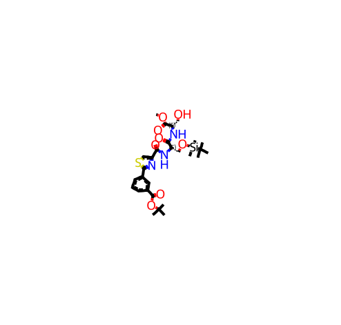 COC(=O)[C@H](CO)NC(=O)[C@H](CO[Si](C)(C)C(C)(C)C)NC(=O)c1csc(-c2cccc(C(=O)OC(C)(C)C)c2)n1